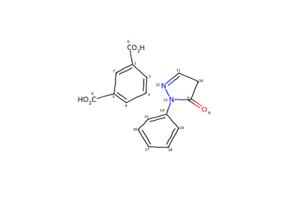 O=C(O)c1cccc(C(=O)O)c1.O=C1CC=NN1c1ccccc1